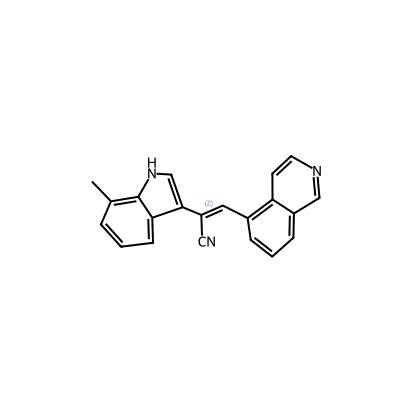 Cc1cccc2c(/C(C#N)=C/c3cccc4cnccc34)c[nH]c12